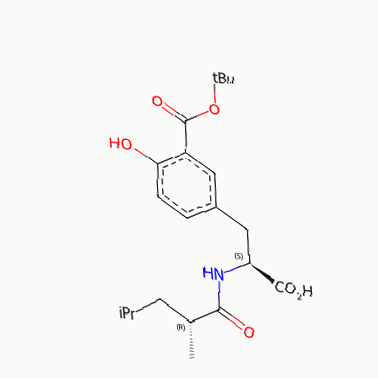 CC(C)C[C@@H](C)C(=O)N[C@@H](Cc1ccc(O)c(C(=O)OC(C)(C)C)c1)C(=O)O